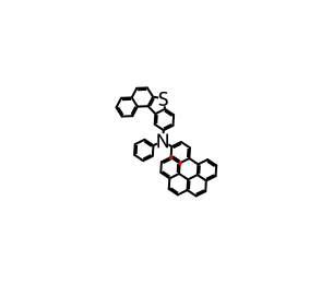 c1ccc(N(c2ccc(-c3cccc4ccc5ccc6ccccc6c5c34)cc2)c2ccc3sc4ccc5ccccc5c4c3c2)cc1